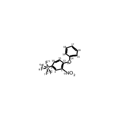 O=[N+]([O-])c1cc(S(F)(F)(F)(F)F)ccc1Oc1ccccc1